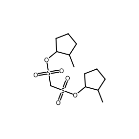 CC1CCCC1OS(=O)(=O)CS(=O)(=O)OC1CCCC1C